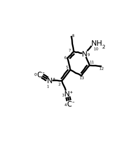 [C-]#[N+]C([N+]#[C-])=C1C=C(C)N(N)C(C)=C1